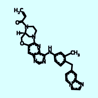 C=CC(=O)N1CCN2C[C@@H]1COc1cc3ncnc(Nc4ccc(Cc5ccn6ccnc6c5)c(C)c4)c3nc12